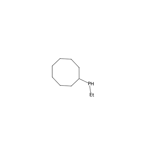 CCPC1CCCCCCC1